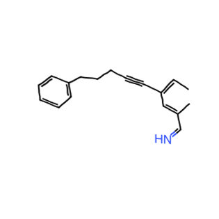 C/C=C(C#CCCCc1ccccc1)\C=C(/C)C=N